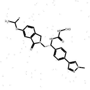 Cn1cc(-c2ccc([C@H](CN3Cc4ccc(OC(N)F)cc4C3=O)NC(=O)NC=O)cc2)cn1